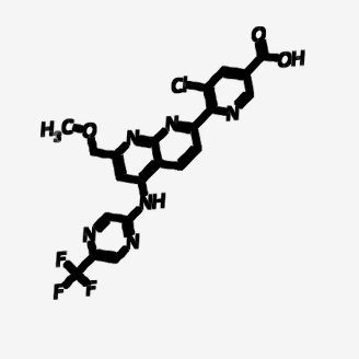 COCc1cc(Nc2cnc(C(F)(F)F)cn2)c2ccc(-c3ncc(C(=O)O)cc3Cl)nc2n1